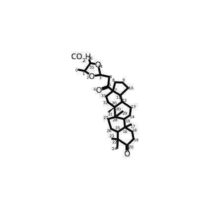 CC1OC(CC(=O)C23CCCC2C2CCC4C5(C)CCC(=O)C(C)(C)C5CCC4(C)[C@]2(C)CC3)OC1C(=O)O